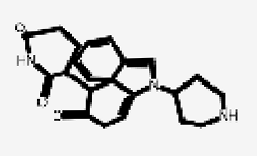 O=C1CCC(C2C(=O)CC=C3N(C4CCNCC4)C=C4C=CC=CC432)C(=O)N1